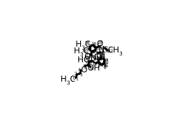 CCCCCOCC(O)[C@H](O)[C@H](Cc1cc(F)cc(F)c1)NC(=O)c1cc(C(=O)N(CCC)CCC)cc(C)c1C